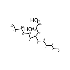 CCCCCCC(CCCCCC)C[C@H](O)CO